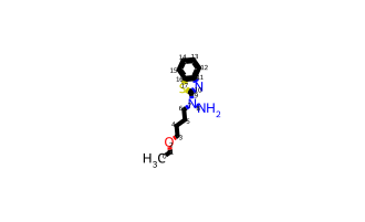 CCOCCCCN(N)c1nc2ccccc2s1